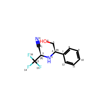 N#C[C@@H](N[C@@H](CO)c1ccccc1)C(F)(F)F